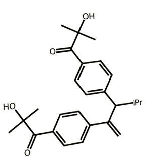 C=C(c1ccc(C(=O)C(C)(C)O)cc1)C(c1ccc(C(=O)C(C)(C)O)cc1)C(C)C